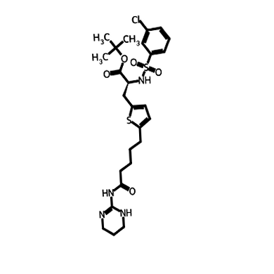 CC(C)(C)OC(=O)[C@H](Cc1ccc(CCCCC(=O)NC2=NCCCN2)s1)NS(=O)(=O)c1cccc(Cl)c1